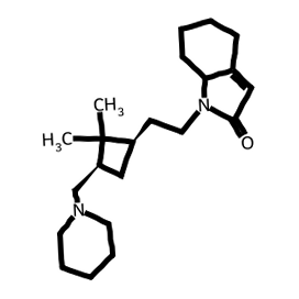 CC1(C)[C@@H](CCN2C(=O)C=C3CCCCC32)C[C@H]1CN1CCCCC1